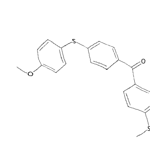 COc1ccc(Sc2ccc(C(=O)c3ccc(SC)cc3)cc2)cc1